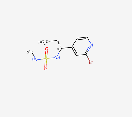 CC(C)(C)NS(=O)(=O)N[C@H](CC(=O)O)c1ccnc(Br)c1